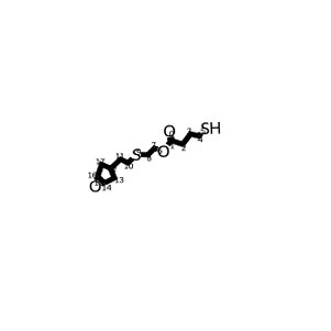 O=C(CCCS)OCCSCCC1CC2OC2C1